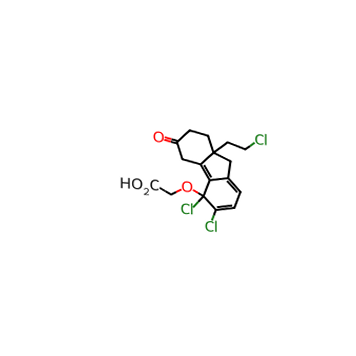 O=C(O)COC1(Cl)C(Cl)=CC=C2CC3(CCCl)CCC(=O)CC3=C21